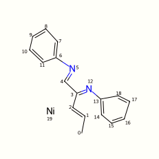 CC=CC(C=Nc1ccccc1)=Nc1ccccc1.[Ni]